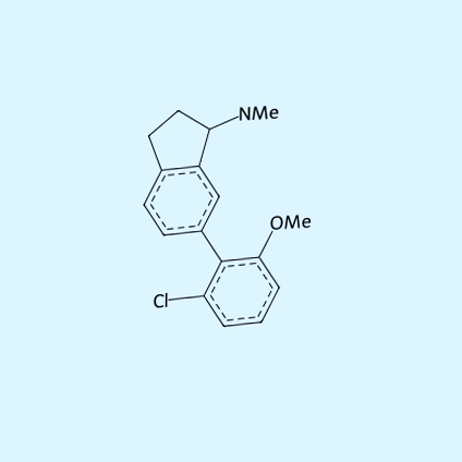 CNC1CCc2ccc(-c3c(Cl)cccc3OC)cc21